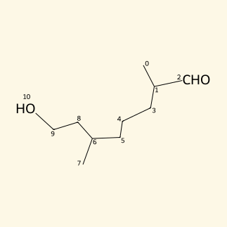 CC(C=O)CCCC(C)CCO